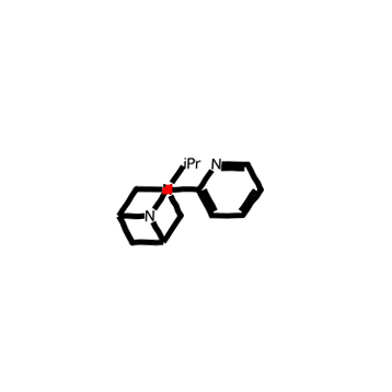 CC(C)N1CC2CC(C1)N2Cc1ccccn1